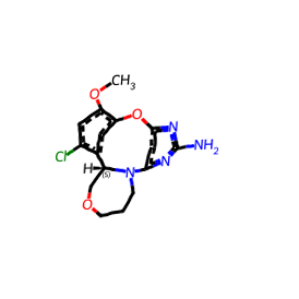 COc1cc(Cl)c2cc1Oc1cc(nc(N)n1)N1CCCOC[C@H]21